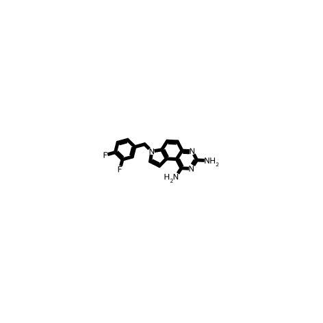 Nc1nc(N)c2c(ccc3c2ccn3Cc2ccc(F)c(F)c2)n1